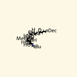 CCCCCCCCCCCCCC(=O)OCCNC(=O)[C@H](C)NC(=O)[C@H](OC)[C@H](O)[C@@H](O)[C@H](O)/C=C/C(C)(C)C